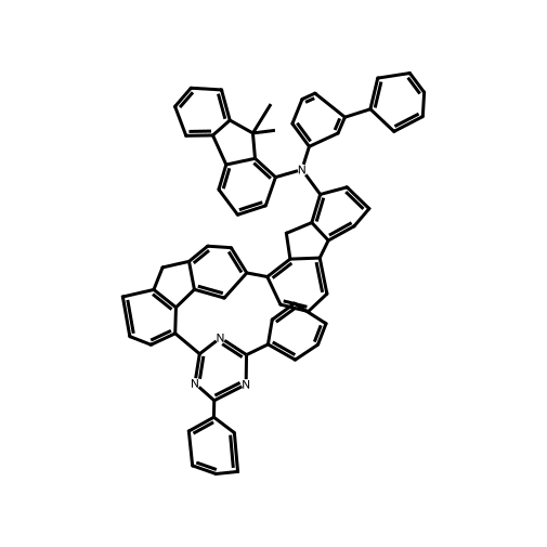 CC1(C)c2ccccc2-c2cccc(N(c3cccc(-c4ccccc4)c3)c3cccc4c3Cc3c(-c5ccc6c(c5)-c5c(cccc5-c5nc(-c7ccccc7)nc(-c7ccccc7)n5)C6)cccc3-4)c21